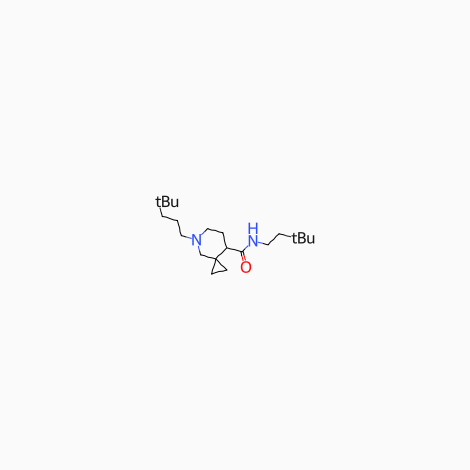 CC(C)(C)CCCN1CCC(C(=O)NCCC(C)(C)C)C2(CC2)C1